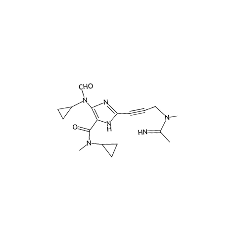 CC(=N)N(C)CC#Cc1nc(N(C=O)C2CC2)c(C(=O)N(C)C2CC2)[nH]1